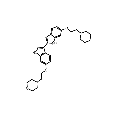 [c]1c(-c2c[nH]c3cc(OCCN4CCOCC4)ccc23)[nH]c2cc(OCCN3CCCCC3)ccc12